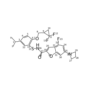 CC(C)c1ccc(OCC2CC2(F)F)c(SNC(=O)c2cc3c(F)cc(N4CCC4)cc3o2)c1